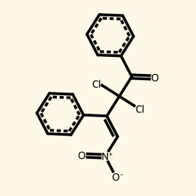 O=C(c1ccccc1)C(Cl)(Cl)C(=C[N+](=O)[O-])c1ccccc1